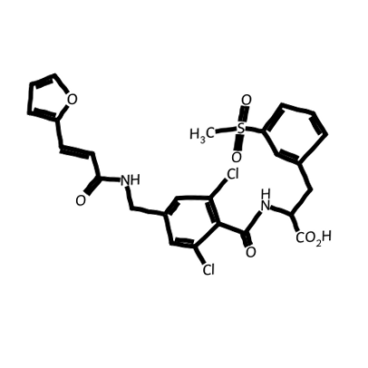 CS(=O)(=O)c1cccc(CC(NC(=O)c2c(Cl)cc(CNC(=O)/C=C/c3ccco3)cc2Cl)C(=O)O)c1